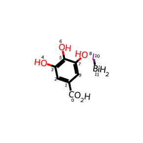 O=C(O)c1cc(O)c(O)c(O)c1.[I][BiH2]